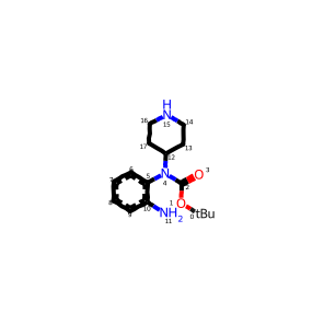 CC(C)(C)OC(=O)N(c1ccccc1N)C1CCNCC1